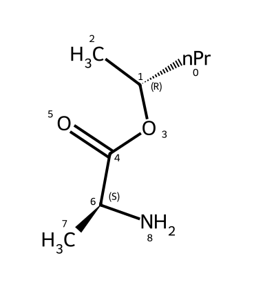 CCC[C@@H](C)OC(=O)[C@H](C)N